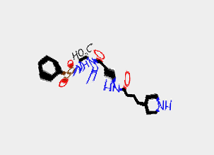 O=C(CCCC1CCNCC1)NCCC(=O)NC[C@H](NS(=O)(=O)c1ccccc1)C(=O)O